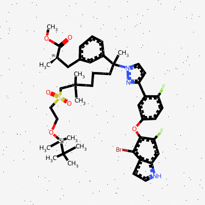 COC(=O)[C@H](C)Cc1cccc(C(C)(CCCC(C)(C)CS(=O)(=O)CCO[Si](C)(C)C(C)(C)C)n2ccc(-c3cc(Oc4c(F)cc5[nH]ccc5c4Br)ccc3F)n2)c1